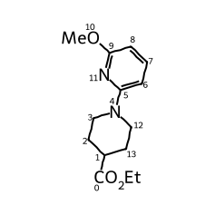 CCOC(=O)C1CCN(c2cccc(OC)n2)CC1